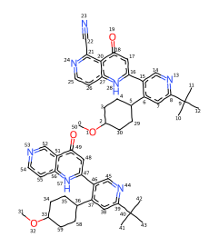 COC1CCC(c2cc(C(C)(C)C)ncc2-c2cc(=O)c3c(C#N)nccc3[nH]2)CC1.COC1CCC(c2cc(C(C)(C)C)ncc2-c2cc(=O)c3cnccc3[nH]2)CC1